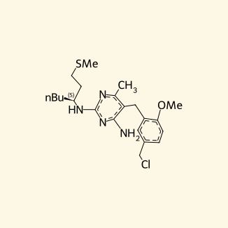 CCCC[C@@H](CCSC)Nc1nc(C)c(Cc2cc(CCl)ccc2OC)c(N)n1